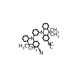 [C-]#[N+]c1ccc2c(c1)C(C)(C)c1ccccc1N2c1cccc(N2c3ccccc3C(C)(C)c3cc(C#N)ccc32)c1